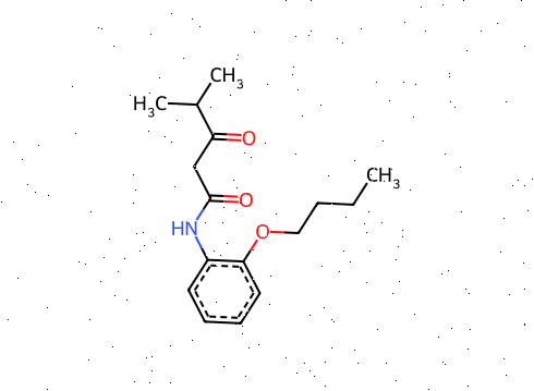 CCCCOc1ccccc1NC(=O)CC(=O)C(C)C